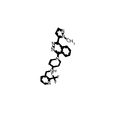 Cn1nccc1-c1nnc(N2CCC(NCc3cccnc3C(F)(F)F)CC2)c2ccccc12